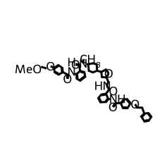 COCCOc1ccc(C(=O)Nc2ccccc2C(=O)N(C)C2CCC(C3COC(CNC(=O)c4ccccc4NC(=O)c4ccc(OCCc5ccccc5)cc4)C3)CC2)cc1